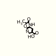 CC1Oc2ncc(C(=O)O)cc2NC1=O